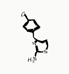 NC1=NC(c2ccc(Cl)cc2)=CCS1